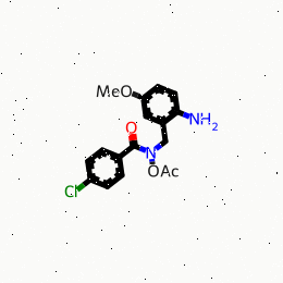 COc1ccc(N)c(CN(OC(C)=O)C(=O)c2ccc(Cl)cc2)c1